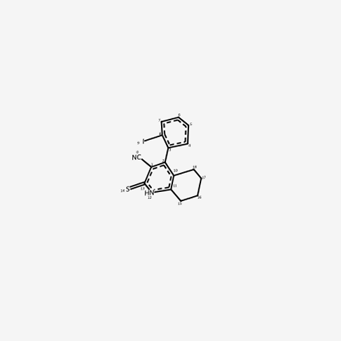 N#Cc1c(-c2ccccc2I)c2c([nH]c1=S)CCCC2